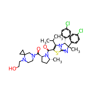 CC(C)C1=C(C(=O)N2[C@H](C)CC[C@H]2C(=O)N2CCN(CCO)C3(CC3)C2)SC2=N[C@@](C)(c3ccc(Cl)cc3)[C@@H](c3ccc(Cl)cc3)N21